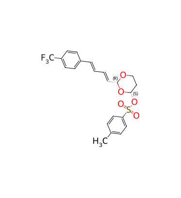 Cc1ccc(S(=O)(=O)O[C@H]2CCO[C@@H](C=CC=Cc3ccc(C(F)(F)F)cc3)O2)cc1